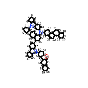 c1ccc(-n2c3ccccc3c3ccc(N(c4ccc5c(ccc6c7ccccc7ccc56)c4)c4ccc(-c5ccc6c7ccccc7n(-c7ccc8oc9cc%10ccccc%10cc9c8c7)c6c5)c5ccccc45)cc32)cc1